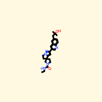 CCNC(=O)N1CCC2(CCn3nc(-c4cnc5ccc(CC(C)(C)O)cc5c4)cc32)C1